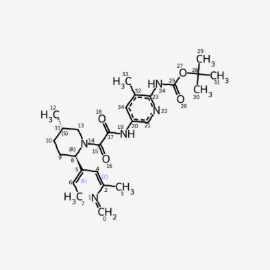 C=N/C(C)=C\C(=C/C)[C@H]1CC[C@H](C)CN1C(=O)C(=O)Nc1cnc(NC(=O)OC(C)(C)C)c(C)c1